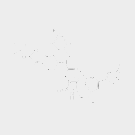 Cn1cc(-c2ccc3c(c2)[C@H](F)CC32NC(=O)N(CC(=O)N(Cc3ccc(F)cc3)C3CCC(=CC(=O)OC(C)(C)C)CC3)C2=O)cn1